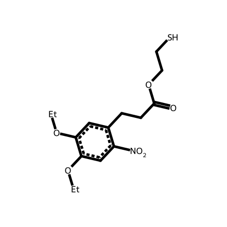 CCOc1cc(CCC(=O)OCCS)c([N+](=O)[O-])cc1OCC